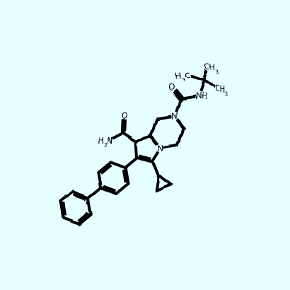 CC(C)(C)NC(=O)N1CCN2C(C3CC3)=C(c3ccc(-c4ccccc4)cc3)C(C(N)=O)C2C1